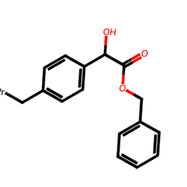 CC(C)Cc1ccc(C(O)C(=O)OCc2ccccc2)cc1